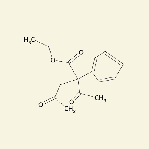 CCOC(=O)C(CC(C)=O)(C(C)=O)c1ccccc1